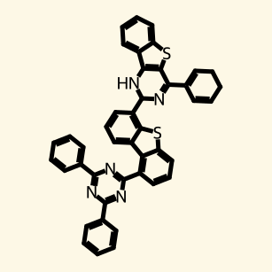 C1=CC(C2=NC(c3cccc4c3sc3cccc(-c5nc(-c6ccccc6)nc(-c6ccccc6)n5)c34)Nc3c2sc2ccccc32)=CCC1